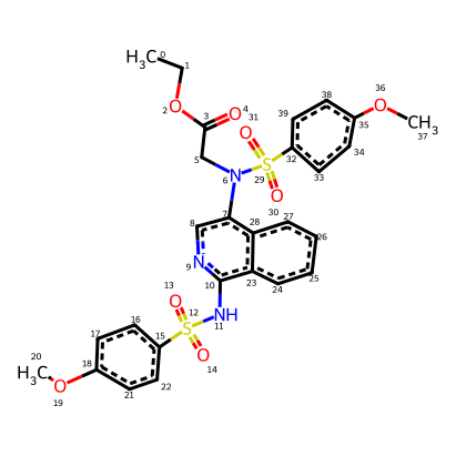 CCOC(=O)CN(c1cnc(NS(=O)(=O)c2ccc(OC)cc2)c2ccccc12)S(=O)(=O)c1ccc(OC)cc1